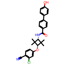 CC1(C)[C@H](NC(=O)c2ccc(-c3ccc(O)cc3)cc2)C(C)(C)[C@H]1Oc1ccc(C#N)c(Cl)c1